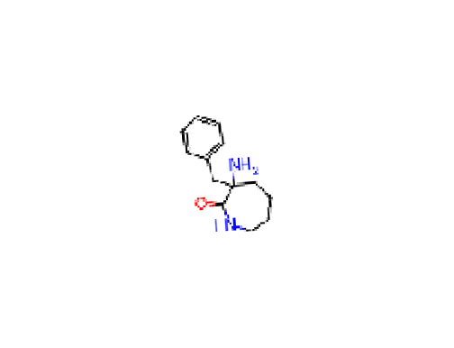 NC1(Cc2ccccc2)CCCCNC1=O